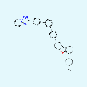 N#Cc1ccc(-c2cccc3c2oc2ccc(-c4ccc(-c5cccc(-c6ccc(C(N)/N=c7/cccc[nH]7)cc6)c5)cc4)cc23)cc1